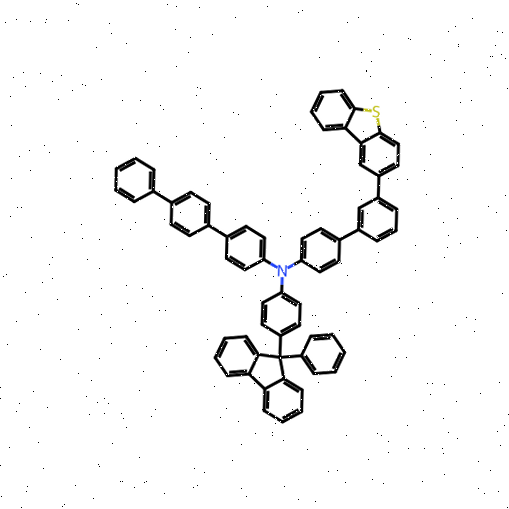 c1ccc(-c2ccc(-c3ccc(N(c4ccc(-c5cccc(-c6ccc7sc8ccccc8c7c6)c5)cc4)c4ccc(C5(c6ccccc6)c6ccccc6-c6ccccc65)cc4)cc3)cc2)cc1